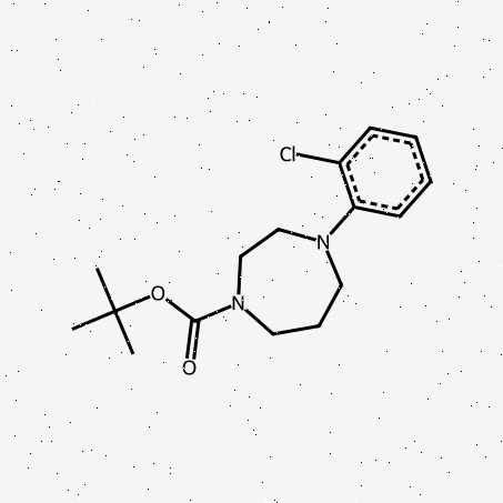 CC(C)(C)OC(=O)N1CCCN(c2ccccc2Cl)CC1